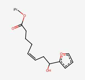 CC(C)OC(=O)CCC/C=C\CC(O)c1ccco1